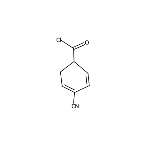 N#CC1=CCC(C(=O)Cl)C=C1